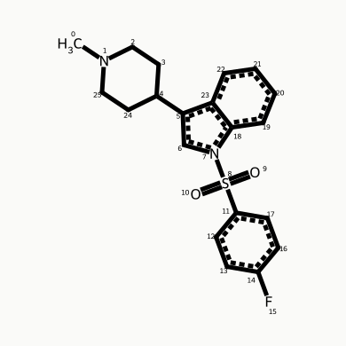 CN1CCC(c2cn(S(=O)(=O)c3ccc(F)cc3)c3ccccc23)CC1